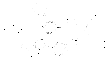 CC(=O)Oc1cc(C)cc(-c2nn(CC#N)cc2-c2cc(NC[C@H](C)OC(C)=O)nc(-c3cccnc3)n2)c1